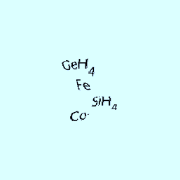 [Co].[Fe].[GeH4].[SiH4]